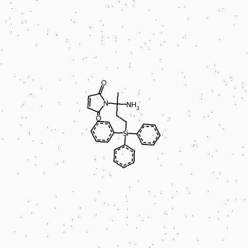 CC(N)(CC[Si](c1ccccc1)(c1ccccc1)c1ccccc1)N1C(=O)C=CC1=O